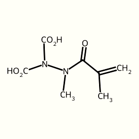 C=C(C)C(=O)N(C)N(C(=O)O)C(=O)O